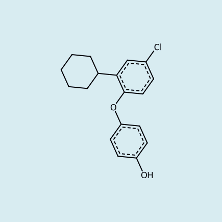 Oc1ccc(Oc2ccc(Cl)cc2C2CCCCC2)cc1